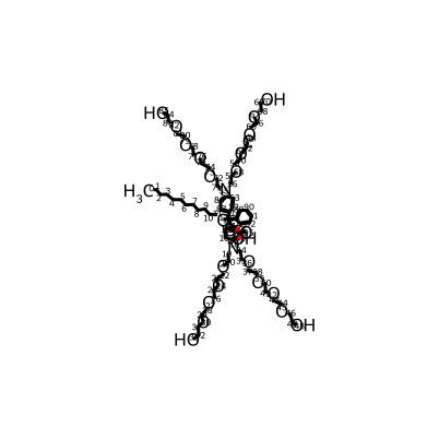 CCCCCCCCCCCCOC(c1ccc(N(CCOCCOCCOCCOCCO)CCOCCOCCOCCOCCO)cc1)(c1ccc(N(CCOCCOCCOCCOCCO)CCOCCOCCOCCOCCO)cc1)c1ccccc1S(=O)(=O)O